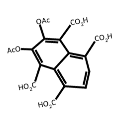 CC(=O)Oc1c(OC(C)=O)c(C(=O)O)c2c(C(=O)O)ccc(C(=O)O)c2c1C(=O)O